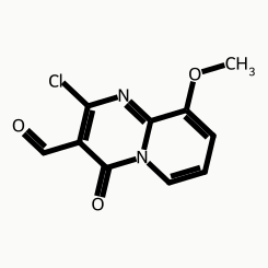 COc1cccn2c(=O)c(C=O)c(Cl)nc12